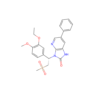 CCOc1cc([C@@H](CS(C)(=O)=O)n2c(=O)[nH]c3cc(-c4ccccc4)cnc32)ccc1OC